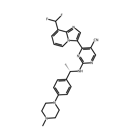 C[C@H](Nc1ncc(C#N)c(-c2cnc3c(C(F)F)cccn23)n1)c1ccc(N2CCN(C)CC2)cc1